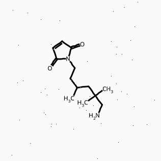 CC(CCN1C(=O)C=CC1=O)CC(C)(C)CN